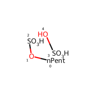 CCCCCOS(=O)(=O)O.O=S(=O)(O)O